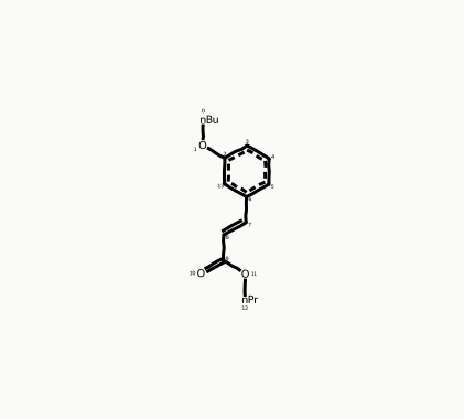 CCCCOc1cccc(C=CC(=O)OCCC)c1